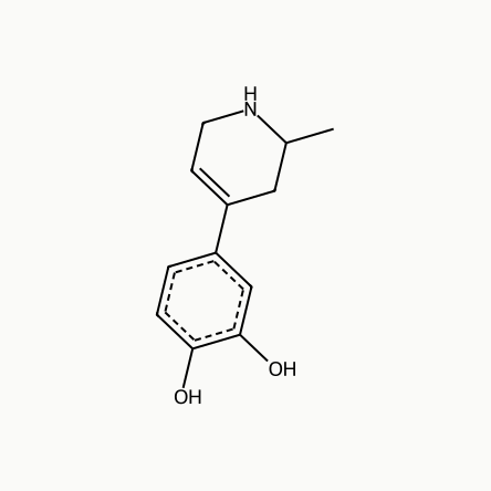 CC1CC(c2ccc(O)c(O)c2)=CCN1